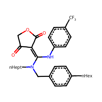 CCCCCCCN(Cc1ccc(CCCCCC)cc1)C(Nc1ccc(C(F)(F)F)cc1)=C1C(=O)COC1=O